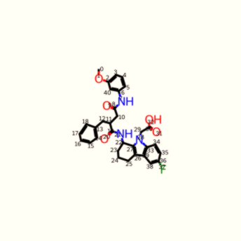 COc1cccc(NC(=O)CC(Cc2ccccc2)C(=O)NC2CCCc3c2n(CC(=O)O)c2ccc(F)cc32)c1